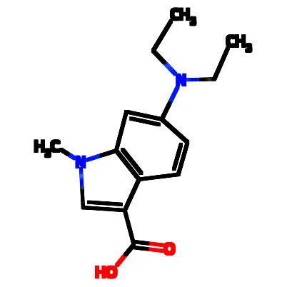 CCN(CC)c1ccc2c(C(=O)O)cn(C)c2c1